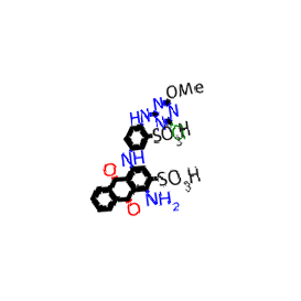 COc1nc(Cl)nc(Nc2ccc(Nc3cc(S(=O)(=O)O)c(N)c4c3C(=O)c3ccccc3C4=O)cc2S(=O)(=O)O)n1